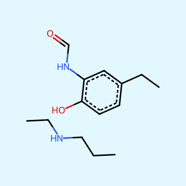 CCCNCC.CCc1ccc(O)c(NC=O)c1